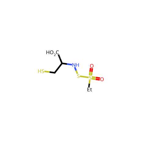 CCS(=O)(=O)SNC(CS)C(=O)O